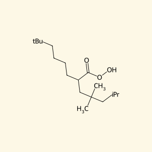 CC(C)CC(C)(C)CC(CCCCC(C)(C)C)C(=O)OO